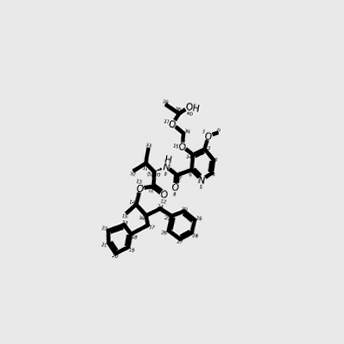 COc1ccnc(C(=O)N[C@H](C(=O)OC(C)C(Cc2ccccc2)Cc2ccccc2)C(C)C)c1OCOC(C)O